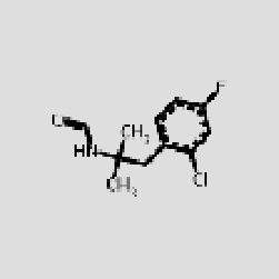 CC(C)(Cc1ccc(F)cc1Cl)NC=O